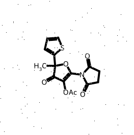 CC(=O)OC1=C(N2C(=O)CCC2=O)OC(C)(c2cccs2)C1=O